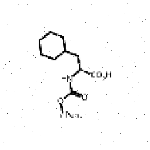 CCCCCOC(=O)N[C@@H](CC1CCCCC1)C(=O)O